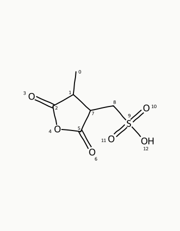 CC1C(=O)OC(=O)C1CS(=O)(=O)O